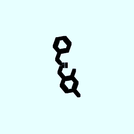 Cc1ccc(CNCc2ccccc2)c(C)c1